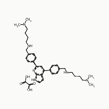 CN(C)CCCCNCc1ccc(-c2cc(-c3ccc(CNCCCCN(C)C)cc3)c3cc[nH]c3n2)cc1.O=C(O)C(=O)O